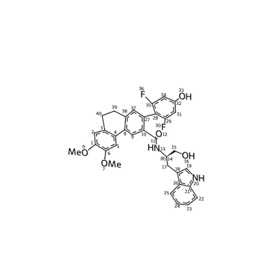 COc1cc2c(cc1OC)-c1cc(C(=O)N[C@@H](CO)Cc3c[nH]c4ccccc34)c(-c3c(F)cc(O)cc3F)cc1CC2